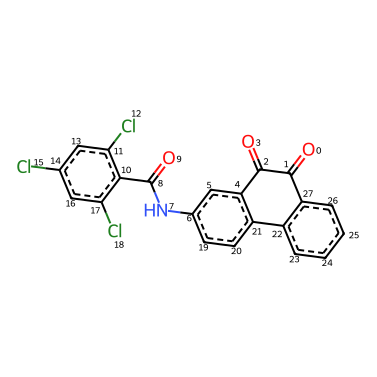 O=C1C(=O)c2cc(NC(=O)c3c(Cl)cc(Cl)cc3Cl)ccc2-c2ccccc21